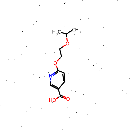 CC(C)OCCOc1ccc(C(=O)O)cn1